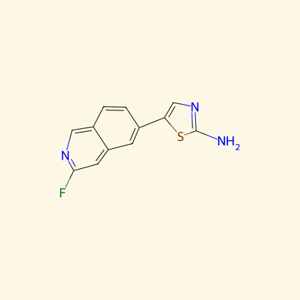 Nc1ncc(-c2ccc3cnc(F)cc3c2)s1